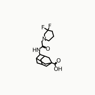 O=C(CN1CCCC(F)(F)C1)NC1C2CC3CC1CC(C(=O)O)(C3)C2